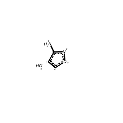 Cl.Nc1ccon1